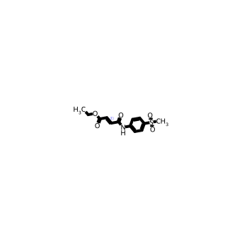 CCOC(=O)/C=C/C(=O)Nc1ccc(S(C)(=O)=O)cc1